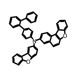 c1ccc(-c2ccccc2-c2ccc(N(c3ccc4c(ccc5oc6ccccc6c54)c3)c3ccc4oc5ccccc5c4c3)cc2)cc1